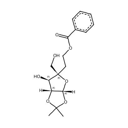 CC1(C)O[C@H]2O[C@@](CO)(CCOC(=O)c3ccccc3)[C@H](O)[C@H]2O1